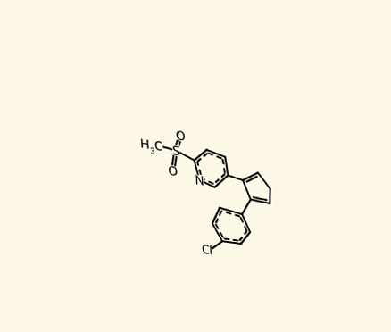 CS(=O)(=O)c1ccc(C2=CCC=C2c2ccc(Cl)cc2)cn1